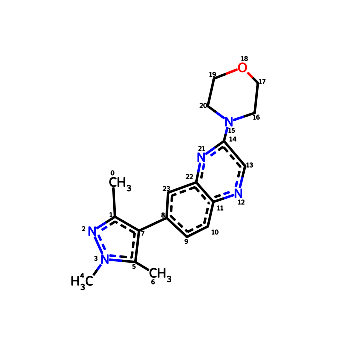 Cc1nn(C)c(C)c1-c1ccc2ncc(N3CCOCC3)nc2c1